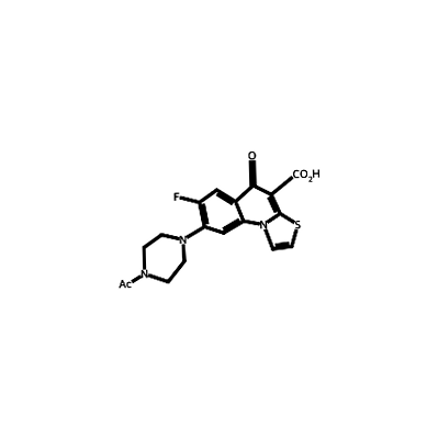 CC(=O)N1CCN(c2cc3c(cc2F)c(=O)c(C(=O)O)c2sccn23)CC1